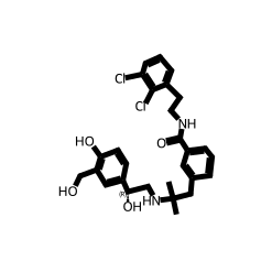 CC(C)(Cc1cccc(C(=O)NCCc2cccc(Cl)c2Cl)c1)NC[C@H](O)c1ccc(O)c(CO)c1